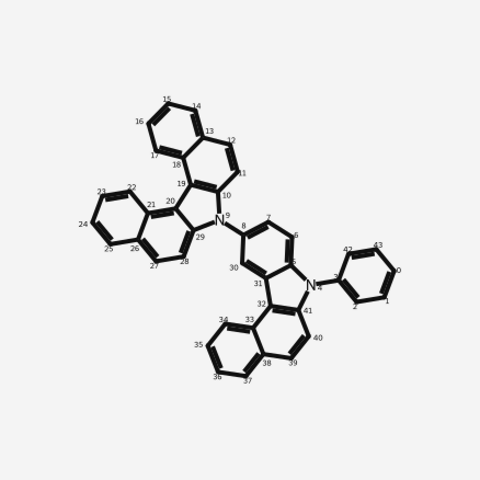 c1ccc(-n2c3ccc(-n4c5ccc6ccccc6c5c5c6ccccc6ccc54)cc3c3c4ccccc4ccc32)cc1